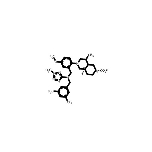 CC1CN(c2ccc(OC(F)(F)F)cc2CN(Cc2cc(C(F)(F)F)cc(C(F)(F)F)c2)c2nnn(C)n2)C[C@@H]2CC[C@@H](C(=O)O)CC12